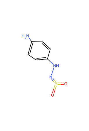 Nc1ccc(NN=S(=O)=O)cc1